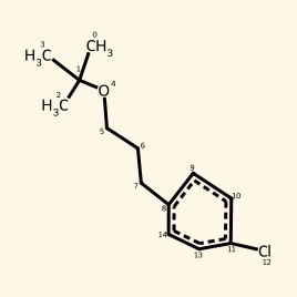 CC(C)(C)OCCCc1ccc(Cl)cc1